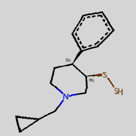 SS[C@H]1CN(CC2CC2)CC[C@H]1c1ccccc1